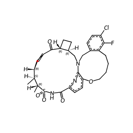 C[C@@H]1[C@@H](C)S(=O)(=O)NC(=O)c2ccc3c(n2)N(Cc2ccc(Cl)c(F)c2CCCCO3)C[C@@H]2CC[C@H]2C(=O)C2=C[C@H]1C2